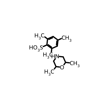 CC1CNCC(C)O1.Cc1cc(C)c(S(=O)(=O)O)c(C)c1